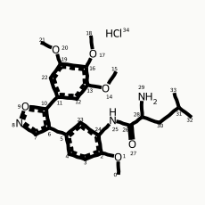 COc1ccc(-c2cnoc2-c2cc(OC)c(OC)c(OC)c2)cc1NC(=O)C(N)CC(C)C.Cl